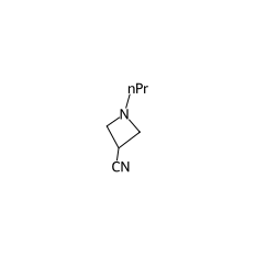 CCCN1CC(C#N)C1